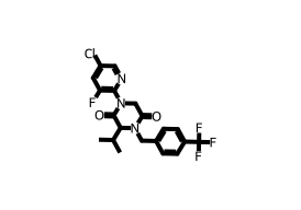 CC(C)C1C(=O)N(c2ncc(Cl)cc2F)CC(=O)N1Cc1ccc(C(F)(F)F)cc1